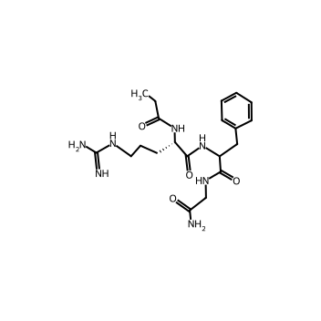 CCC(=O)N[C@@H](CCCNC(=N)N)C(=O)NC(Cc1ccccc1)C(=O)NCC(N)=O